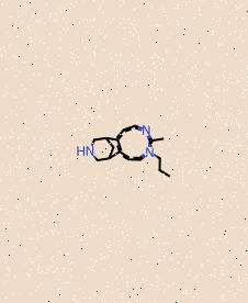 CCCn1ccc2c(ccnc1C)C1CNCC2C1